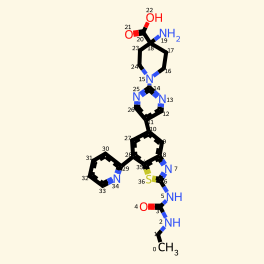 CCNC(=O)Nc1nc2cc(-c3cnc(N4CCC(N)(C(=O)O)CC4)nc3)cc(-c3ccccn3)c2s1